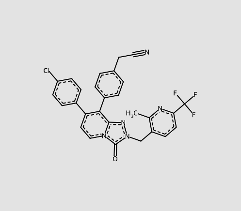 Cc1nc(C(F)(F)F)ccc1Cn1nc2c(-c3ccc(CC#N)cc3)c(-c3ccc(Cl)cc3)ccn2c1=O